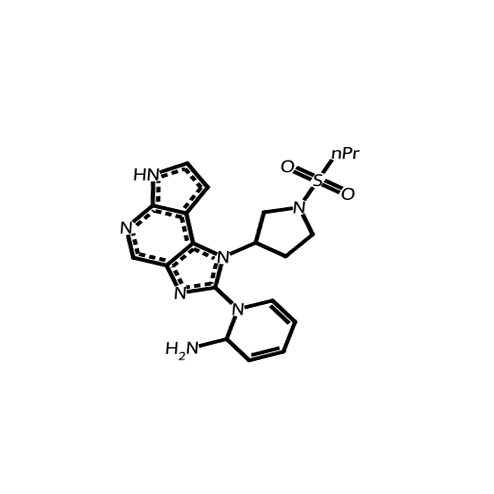 CCCS(=O)(=O)N1CCC(n2c(N3C=CC=CC3N)nc3cnc4[nH]ccc4c32)C1